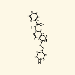 O=C(Nc1ccc2c(CCC3CCNCC3)noc2c1)c1ccccc1